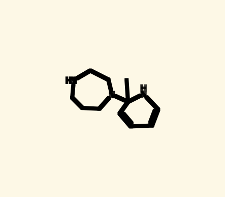 CC1(N2CCCNCC2)C=CC=CN1